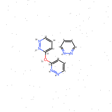 c1ccnnc1.c1cnnc(Oc2cccnn2)c1